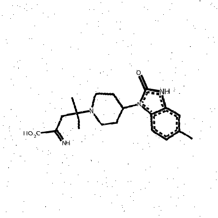 Cc1ccc2c(c1)[nH]c(=O)n2C1CCN(C(C)(C)CC(=N)C(=O)O)CC1